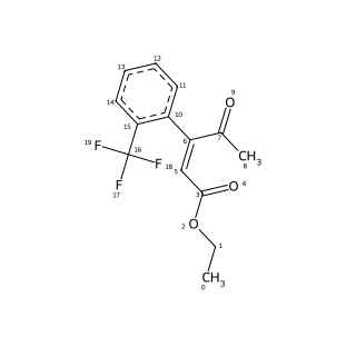 CCOC(=O)C=C(C(C)=O)c1ccccc1C(F)(F)F